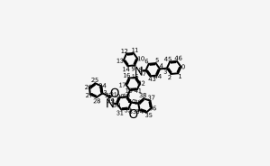 c1ccc(-c2ccc(N(c3ccccc3)c3ccc(-c4c5oc(-c6ccccc6)nc5cc5oc6ccccc6c45)cc3)cc2)cc1